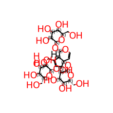 OCC1=C[C@@H](O)[C@]2(O[C@@H]3O[C@H](CO)[C@@H](O)[C@H](O)[C@H]3O[C@@H]3O[C@H](CO)[C@@H](O)[C@H](O)[C@H]3O)C=CO[C@@H](O[C@@H]3O[C@H](CO)[C@@H](O)[C@H](O)[C@H]3O)[C@H]12